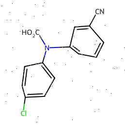 N#Cc1cccc(N(C(=O)O)c2ccc(Cl)cc2)c1